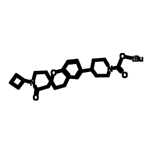 CC(C)(C)OC(=O)N1CCC(c2ccc3c(c2)CCC2(CCN(C4CCC4)C(=O)C2)O3)CC1